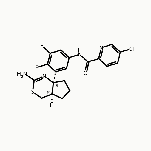 NC1=N[C@@]2(c3cc(NC(=O)c4ccc(Cl)cn4)cc(F)c3F)CCC[C@H]2CS1